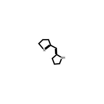 C(/C1=NCCC1)=C1/CCCN1